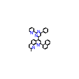 Cc1ccc2ccc3c(-c4cc(-c5ccccc5)nc(-c5ccccn5)n4)cc(-c4cccc5ccccc45)nc3c2n1